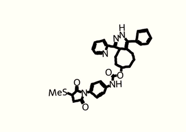 CSC1CC(=O)N(c2ccc(NC(=O)OC3CCCC4=C(c5ccccc5)NN=C(c5ccccn5)C4CC3)cc2)C1=O